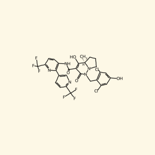 C[C@]12CCCN1N(Cc1c(Cl)cc(O)cc1Cl)C(=O)C(C(=O)Nc1ccc(C(F)(F)F)nc1-c1ccc(C(F)(F)F)nc1)=C2O